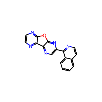 c1ccc2c(-c3cnc4c(n3)oc3nccnc34)nccc2c1